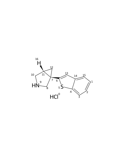 Cl.c1ccc2sc([C@@]34CNC[C@@H]3C4)cc2c1